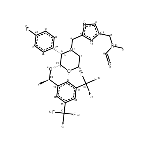 C[C@@H](O[C@H]1OCCN(Cc2ncn(CN(C)C=O)n2)[C@H]1c1ccc(F)cc1)c1cc(C(F)(F)F)cc(C(F)(F)F)c1